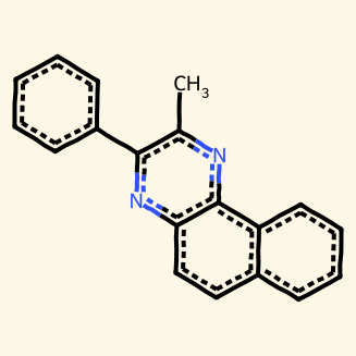 Cc1nc2c(ccc3ccccc32)nc1-c1ccccc1